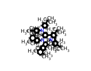 CC(C)(C)c1ccc(N(c2ccc(C(C)(C)C)cc2)c2cc3c4c(c2)N(c2ccc5c(c2)C(C)(C)CCC5(C)C)C2=C(B4n4c5ccc(C(C)(C)C)cc5c5cc(C(C)(C)C)cc-3c54)C(C)(C)c3cc4c(cc32)C(C)(C)CCC4(C)C)cc1